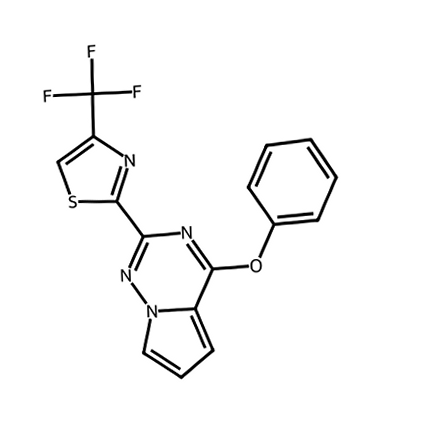 FC(F)(F)c1csc(-c2nc(Oc3ccccc3)c3cccn3n2)n1